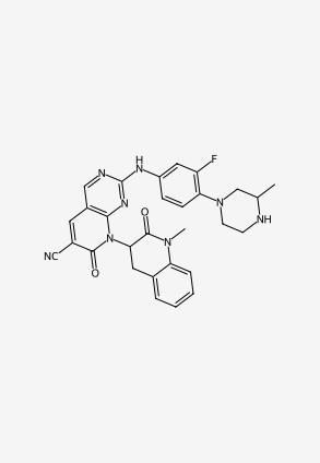 CC1CN(c2ccc(Nc3ncc4cc(C#N)c(=O)n(C5Cc6ccccc6N(C)C5=O)c4n3)cc2F)CCN1